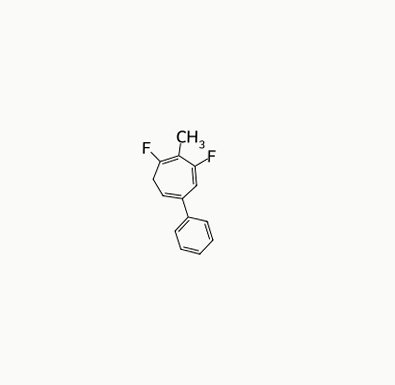 CC1=C(F)CC=C(c2ccccc2)C=C1F